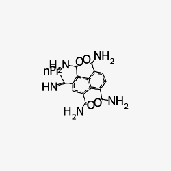 CCCC(=N)c1cc(C(N)=O)c2c(C(N)=O)ccc(C(N)=O)c2c1C(N)=O